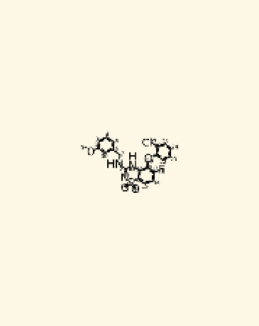 COc1cccc(CNC2=NS(=O)(=O)c3ccc(F)c(Oc4ccccc4Cl)c3N2)c1